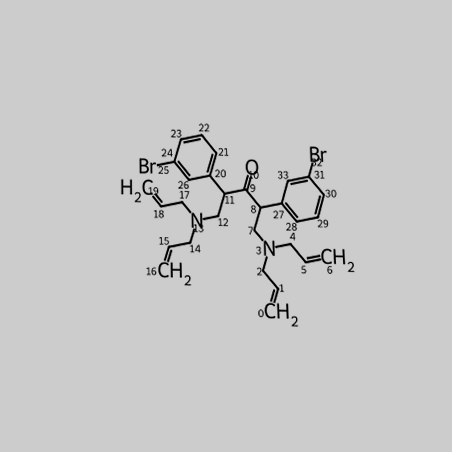 C=CCN(CC=C)CC(C(=O)C(CN(CC=C)CC=C)c1cccc(Br)c1)c1cccc(Br)c1